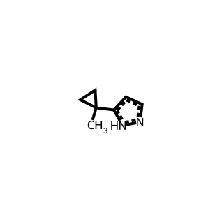 CC1(c2ccn[nH]2)CC1